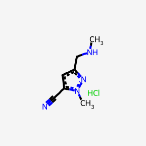 CNCc1cc(C#N)n(C)n1.Cl